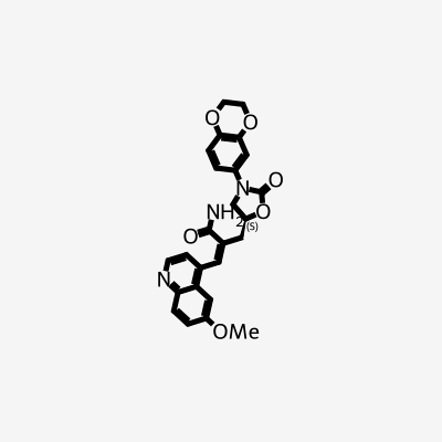 COc1ccc2nccc(C=C(C[C@H]3CN(c4ccc5c(c4)OCCO5)C(=O)O3)C(N)=O)c2c1